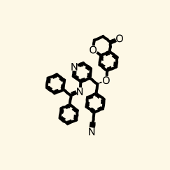 N#Cc1ccc([C@@H](Oc2ccc3c(c2)OCCC3=O)c2ccncc2N=C(c2ccccc2)c2ccccc2)cc1